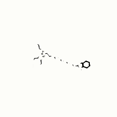 CCCO[Si](CCSSSSSSSSc1nc2ccccc2s1)(OCCC)OCCC